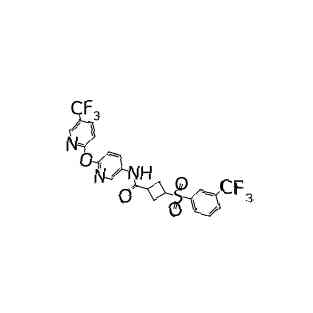 O=C(Nc1ccc(Oc2ccc(C(F)(F)F)cn2)nc1)C1CC(S(=O)(=O)c2cccc(C(F)(F)F)c2)C1